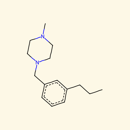 CCCc1cccc(CN2CCN(C)CC2)c1